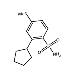 CNc1ccc(S(N)(=O)=O)c(C2CCCC2)c1